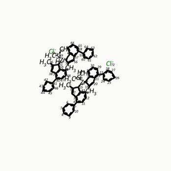 CC1=Cc2c(-c3ccccc3)cccc2[CH]1[Zr+]([CH]1C(C)=Cc2c(-c3ccccc3)cccc21)[SiH](C)C.CC1=Cc2c(-c3ccccc3)cccc2[CH]1[Zr+]([CH]1C(C)=Cc2c(-c3ccccc3)cccc21)[SiH](C)C.[Cl-].[Cl-]